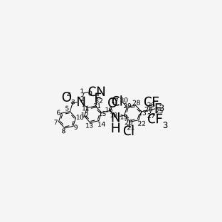 N#CCN(C(=O)c1ccccc1)c1cccc(C(=O)Nc2c(Cl)cc(C(F)(C(F)(F)F)C(F)(F)F)cc2Cl)c1F